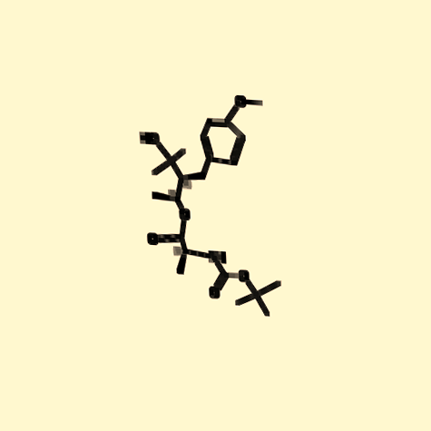 COc1ccc(C[C@@H]([C@H](C)OC(=O)[C@H](C)NC(=O)OC(C)(C)C)C(C)(C)O)cc1